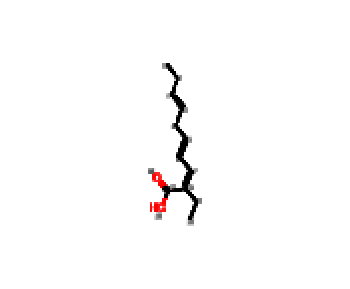 CCC=CCC=CC=C(CC)C(=O)O